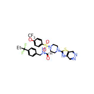 CCC(F)(F)c1ccc(CNC(=O)[C@H]2CN(c3nc4cnncc4s3)CCN2S(=O)(=O)c2ccc(OC(F)(F)F)cc2)cc1